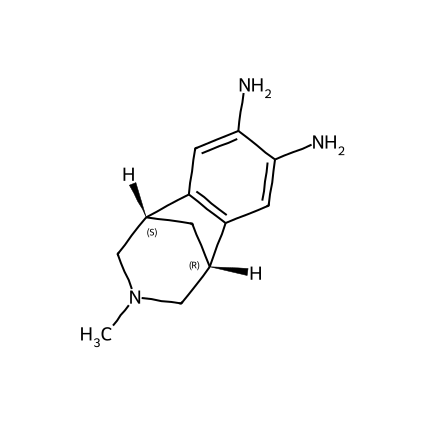 CN1C[C@H]2C[C@@H](C1)c1cc(N)c(N)cc12